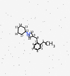 CCc1ccccc1CC1CN(C2CCCCC2)C1